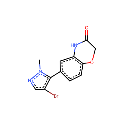 Cn1ncc(Br)c1-c1ccc2c(c1)NC(=O)CO2